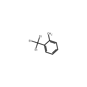 [CH2]c1ccccc1C(CC)(CC)CC